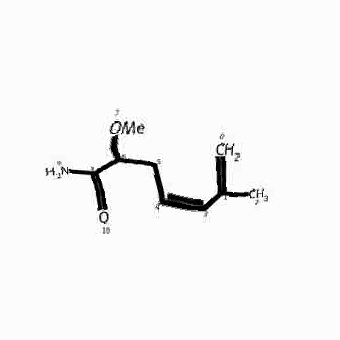 C=C(C)/C=C\CC(OC)C(N)=O